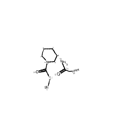 CC(C)(C)OC(=O)N1CCCCC1.CCCCCCC(N)=O